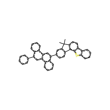 CC1(C)c2cc(-c3cc4c5ccccc5c(-c5ccccc5)cc4c4ccccc34)ccc2-c2c1ccc1c2sc2ccccc21